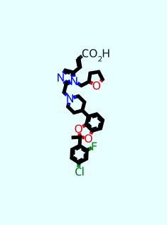 CC1(c2ccc(Cl)cc2F)Oc2cccc(C3CCN(Cc4ncc(/C=C/C(=O)O)n4CC4CCCO4)CC3)c2O1